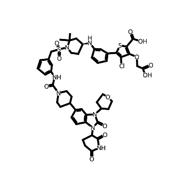 CC1(C)C[C@@H](Nc2cccc(-c3sc(C(=O)O)c(OCC(=O)O)c3Cl)c2)CCN1S(=O)(=O)Cc1cccc(NC(=O)N2CCC(c3ccc4c(c3)n(C3CCOCC3)c(=O)n4C3CCC(=O)NC3=O)CC2)c1